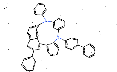 c1ccc(-c2ccc(-n3c4cccc(c4)n(-c4ccccc4)c4ccc5cc(-c6ccccc6)cc(c5c4)c4ccccc43)cc2)cc1